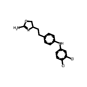 NC1=NC(CCc2ccc(Nc3ccc(Cl)c(Cl)c3)cc2)CO1